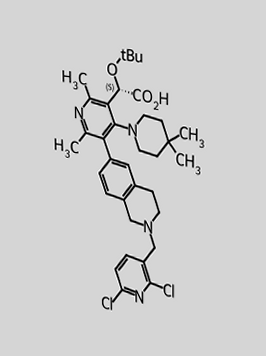 Cc1nc(C)c([C@H](OC(C)(C)C)C(=O)O)c(N2CCC(C)(C)CC2)c1-c1ccc2c(c1)CCN(Cc1ccc(Cl)nc1Cl)C2